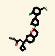 COC(=O)C[C@@H](c1ccc2c(c1)O[C@H](c1ccc(-c3cc(C)ccc3F)cc1)CC2)C1CCC1